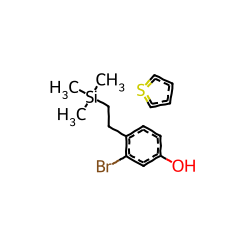 C[Si](C)(C)CCc1ccc(O)cc1Br.c1ccsc1